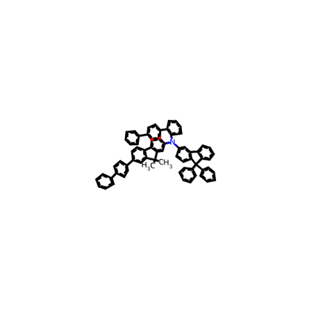 CC1(C)c2cc(-c3ccc(-c4ccccc4)cc3)ccc2-c2ccc(N(c3ccc4c(c3)-c3ccccc3C4(c3ccccc3)c3ccccc3)c3ccccc3-c3ccc(-c4ccccc4)cc3)cc21